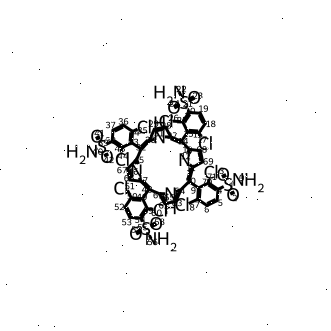 NS(=O)(=O)c1ccc(Cl)c(-c2c3nc(c(-c4c(Cl)ccc(S(N)(=O)=O)c4Cl)c4ccc([nH]4)c(-c4c(Cl)ccc(S(N)(=O)=O)c4Cl)c4nc(c(-c5c(Cl)ccc(S(N)(=O)=O)c5Cl)c5ccc2[nH]5)C=C4)C=C3)c1Cl